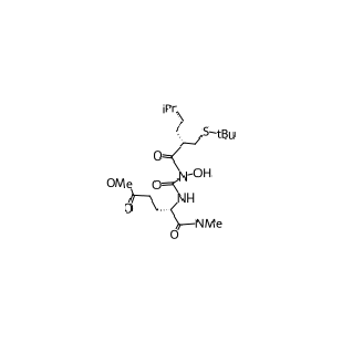 CNC(=O)[C@H](CCC(=O)OC)NC(=O)N(O)C(=O)[C@H](CCC(C)C)CSC(C)(C)C